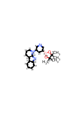 CC1(C)OB(c2cncc(-n3cccc4c5ccccc5nc3-4)c2)OC1(C)C